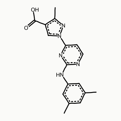 Cc1cc(C)cc(Nc2nccc(-n3cc(C(=O)O)c(C)n3)n2)c1